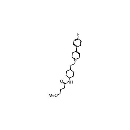 COCCCC(=O)NC1CCC(CCN2CC=C(c3ccc(F)cc3)CC2)CC1